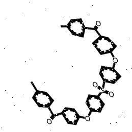 Cc1ccc(C(=O)c2ccc(Oc3ccc(S(=O)(=O)c4ccc(Oc5ccc(C(=O)c6ccc(C)cc6)cc5)cc4)cc3)cc2)cc1